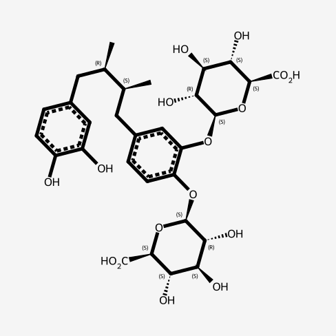 C[C@H](Cc1ccc(O)c(O)c1)[C@@H](C)Cc1ccc(O[C@@H]2O[C@H](C(=O)O)[C@@H](O)[C@H](O)[C@H]2O)c(O[C@@H]2O[C@H](C(=O)O)[C@@H](O)[C@H](O)[C@H]2O)c1